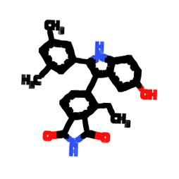 CCc1c(-c2c(-c3cc(C)cc(C)c3)[nH]c3ccc(O)cc23)ccc2c1C(=O)NC2=O